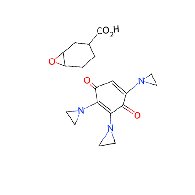 O=C(O)C1CCC2OC2C1.O=C1C=C(N2CC2)C(=O)C(N2CC2)=C1N1CC1